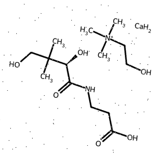 CC(C)(CO)[C@@H](O)C(=O)NCCC(=O)O.C[N+](C)(C)CCO.[CaH2]